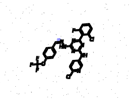 Fc1cccc(Cl)c1-c1nc(N/N=C\c2ccc(OC(F)(F)F)cc2)nc(Nc2ccc(Cl)nc2)n1